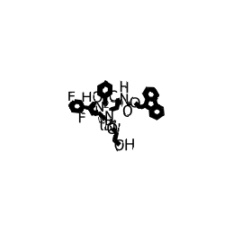 CC(C)(C)[C@H](c1cc(-c2cc(F)ccc2F)cn1Cc1ccccc1)N(CC[C@H](NC(=O)OCC1c2ccccc2-c2ccccc21)C(=O)O)COCCO